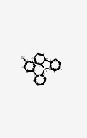 Clc1ccc(-c2ccccc2N2c3ccccc3C3C=CC=CC32)cc1